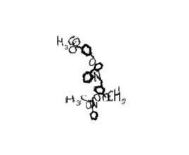 COC(=O)c1ccc(COc2cccc3c2c2ccccc2n3Cc2ccc(OCc3nc(-c4ccccc4)oc3C)c(OC)c2)cc1